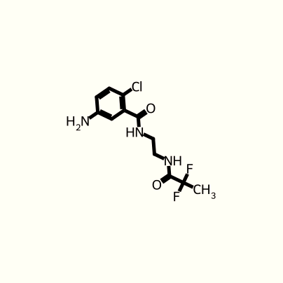 CC(F)(F)C(=O)NCCNC(=O)c1cc(N)ccc1Cl